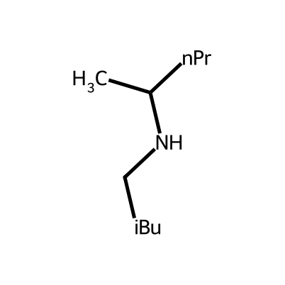 CCCC(C)NCC(C)CC